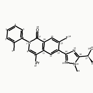 Cc1ccccc1-n1cc(C(C)C)c2cc(-c3nc([C@H](C)O)n(C)n3)c(F)cc2c1=O